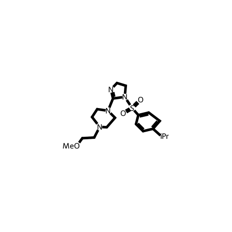 COCCN1CCN(C2=NCCN2S(=O)(=O)c2ccc(C(C)C)cc2)CC1